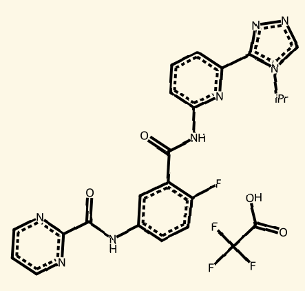 CC(C)n1cnnc1-c1cccc(NC(=O)c2cc(NC(=O)c3ncccn3)ccc2F)n1.O=C(O)C(F)(F)F